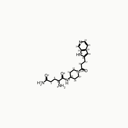 NC(=O)CCC(N)C(=O)NC1CCN(C(=O)CCc2cc3ccncc3[nH]2)CC1